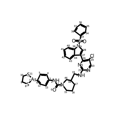 O=C(Nc1ccc([As]2SCCS2)cc1)N1CCCC(CNc2ncc(Cl)c(-c3cn(S(=O)(=O)c4ccccc4)c4ccccc34)n2)C1